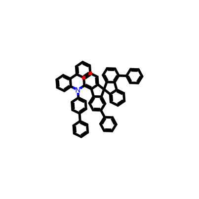 c1ccc(-c2ccc(N(c3ccccc3-c3ccccc3)c3cccc4c3-c3ccc(-c5ccccc5)cc3C43c4ccccc4-c4c(-c5ccccc5)cccc43)cc2)cc1